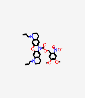 C=CCN1CCCc2cc3c(cc21)Oc1cc2c(cc1N3C(=O)OCc1cc(OC)c(OC)cc1[N+](=O)[O-])CCCN2CC=C